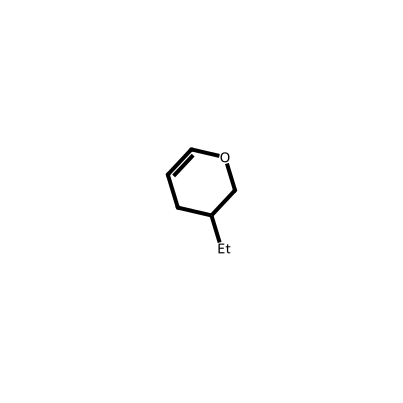 CCC1CC=COC1